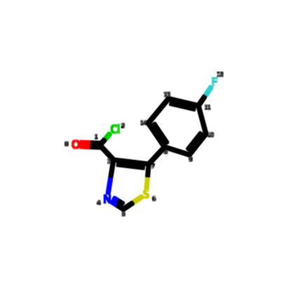 O=C(Cl)c1ncsc1-c1ccc(F)cc1